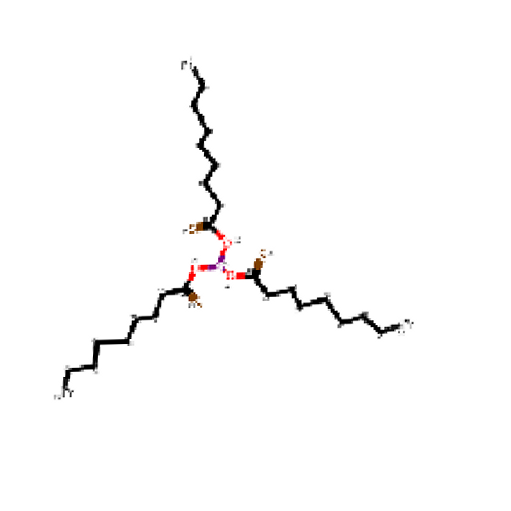 CC(C)CCCCCCCC(=S)OP(OC(=S)CCCCCCCC(C)C)OC(=S)CCCCCCCC(C)C